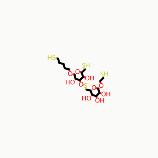 OC1C(CSOC2C(O)C(CS)OC(OCCCCCS)C2O)OC(OCCS)C(O)C1O